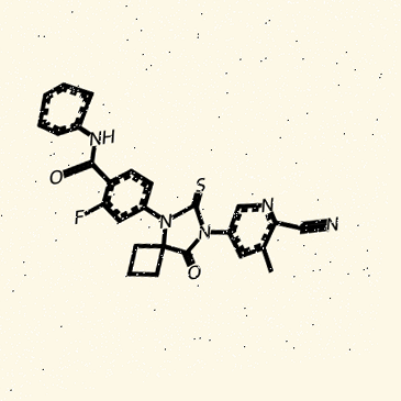 Cc1cc(N2C(=O)C3(CCC3)N(c3ccc(C(=O)Nc4ccccc4)c(F)c3)C2=S)cnc1C#N